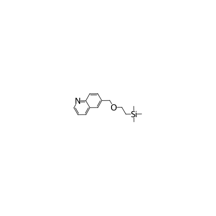 C[Si](C)(C)CCOCc1ccc2ncccc2c1